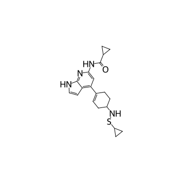 O=C(Nc1cc(C2=CCC(NSC3CC3)CC2)c2cc[nH]c2n1)C1CC1